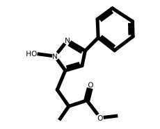 COC(=O)C(C)Cc1cc(-c2ccccc2)nn1O